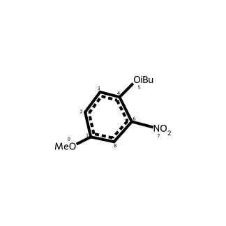 COc1ccc(OCC(C)C)c([N+](=O)[O-])c1